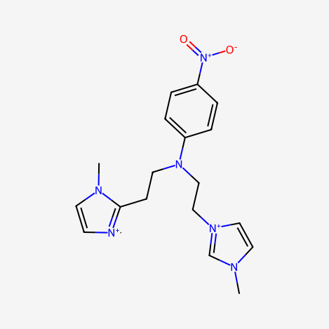 CN1C=C[N+]=C1CCN(CC[n+]1ccn(C)c1)c1ccc([N+](=O)[O-])cc1